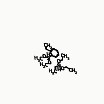 C=C[SiH](OCC)OCC.C=Cc1ccccc1[SiH](OC)OC